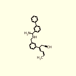 C#CC/C(=C\C=C/C)c1cccc(CNC(N)c2cccc(-c3ccccc3)c2)c1